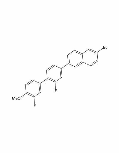 CCc1ccc2cc(-c3ccc(-c4ccc(OC)c(F)c4)c(F)c3)ccc2c1